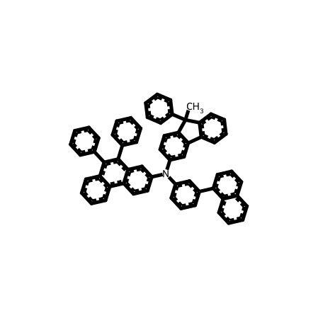 CC1(c2ccccc2)c2ccccc2-c2cc(N(c3cccc(-c4cccc5ccccc45)c3)c3ccc4c(c3)c(-c3ccccc3)c(-c3ccccc3)c3ccccc34)ccc21